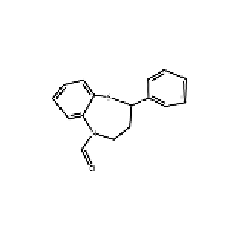 O=CN1CCC(c2ccccc2)Sc2ccccc21